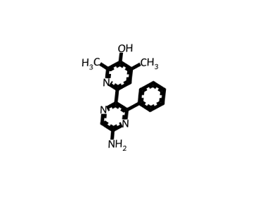 Cc1cc(-c2ncc(N)nc2-c2ccccc2)nc(C)c1O